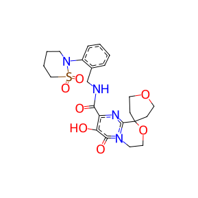 O=C(NCc1ccccc1N1CCCCS1(=O)=O)c1nc2n(c(=O)c1O)CCOC21CCOCC1